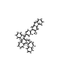 Clc1nc2c(nc1-c1ccc(-n3c4ccccc4c4c5ccccc5c5c(oc6ccc7ccccc7c65)c43)cc1)sc1ccccc12